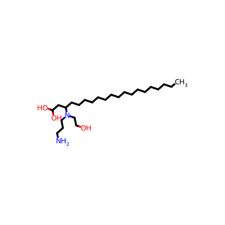 CCCCCCCCCCCCCCCCCC(CC(O)O)N(CCO)CCCN